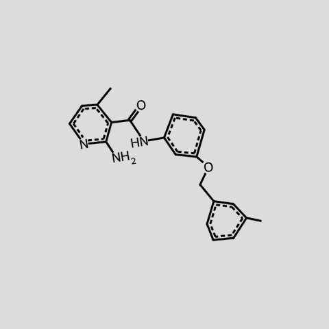 Cc1cccc(COc2cccc(NC(=O)c3c(C)ccnc3N)c2)c1